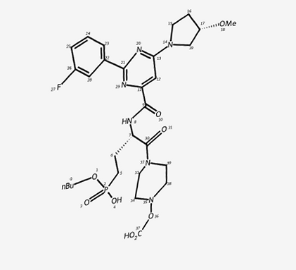 CCCCOP(=O)(O)CC[C@H](NC(=O)c1cc(N2CC[C@H](OC)C2)nc(-c2cccc(F)c2)n1)C(=O)N1CCN(OC(=O)O)CC1